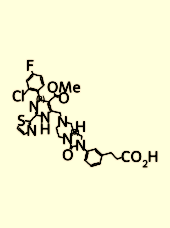 COC(=O)C1=C(CN2CCN3C(=O)N(c4cccc(CCC(=O)O)c4)C[C@@H]3C2)NC(c2nccs2)=N[C@H]1c1ccc(F)cc1Cl